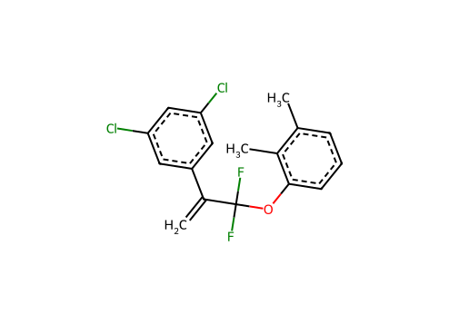 C=C(c1cc(Cl)cc(Cl)c1)C(F)(F)Oc1cccc(C)c1C